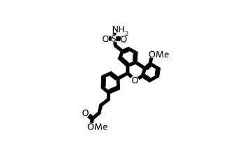 COC(=O)CCCc1cccc(C2Oc3cccc(OC)c3-c3ccc(CS(N)(=O)=O)cc32)c1